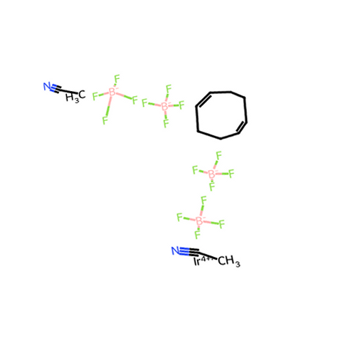 C1=C\CC/C=C\CC/1.CC#N.CC#N.F[B-](F)(F)F.F[B-](F)(F)F.F[B-](F)(F)F.F[B-](F)(F)F.[Ir+4]